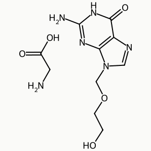 NCC(=O)O.Nc1nc2c(ncn2COCCO)c(=O)[nH]1